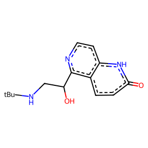 CC(C)(C)NCC(O)c1nccc2[nH]c(=O)ccc12